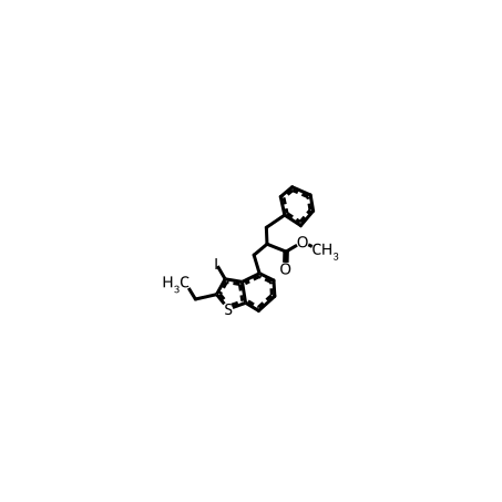 CCc1sc2cccc(CC(Cc3ccccc3)C(=O)OC)c2c1I